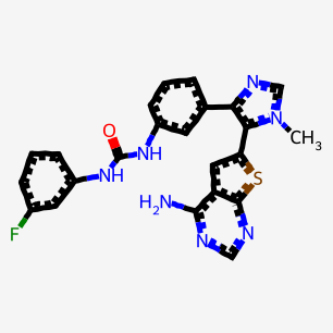 Cn1cnc(-c2cccc(NC(=O)Nc3cccc(F)c3)c2)c1-c1cc2c(N)ncnc2s1